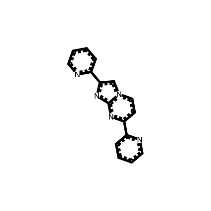 c1ccc(-c2ccn3cc(-c4ccccn4)nc3n2)nc1